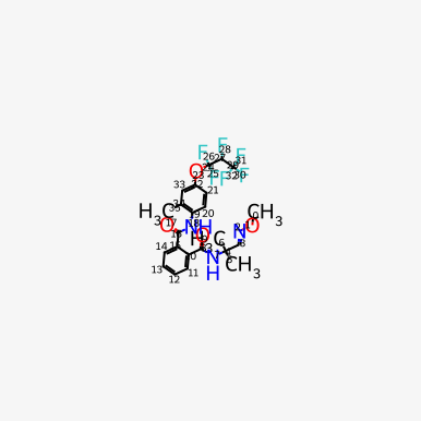 CON=CC(C)(C)NC(=O)c1ccccc1C(=O)Nc1ccc(OC(F)(F)C(F)C(F)(F)F)cc1C